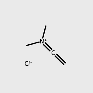 C=C=[N+](C)C.[Cl-]